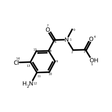 CN(CC(=O)O)C(=O)c1ccc(N)c(Cl)c1